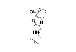 CC(C)CNCc1cnc(C(N)=O)cn1